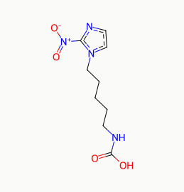 O=C(O)NCCCCCn1ccnc1[N+](=O)[O-]